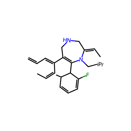 C=C/C=C(\C=C/C)C1=C(C2C(F)=CC=CC2C)N(CC(C)C)/C(=C\C)CNC1